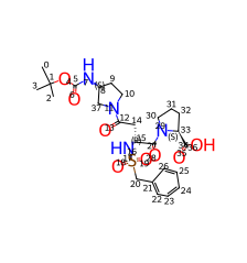 CC(C)(C)OC(=O)N[C@H]1CCN(C(=O)C[C@@H](NS(=O)(=O)Cc2ccccc2)C(=O)N2CCC[C@H]2C(=O)O)C1